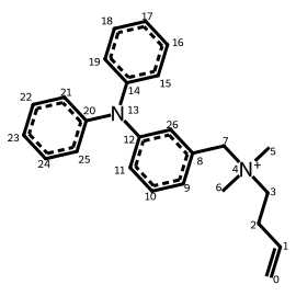 C=CCC[N+](C)(C)Cc1cccc(N(c2ccccc2)c2ccccc2)c1